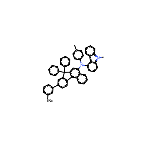 Cc1ccc(N(c2cc3c(c4ccccc24)-c2ccc(-c4cccc(C(C)(C)C)c4)cc2C3(c2ccccc2)c2ccccc2)c2cccc3c2c2ccccc2n3C)cc1